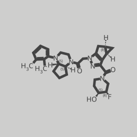 Cc1cccc(N2CCN(C(=O)Cn3nc(C(=O)N4CC[C@H](O)[C@H](F)C4)c4c3C[C@H]3C[C@@H]43)[C@H]3CCC[C@@H]32)c1C